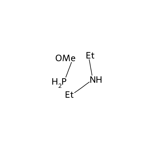 CCNCC.COP